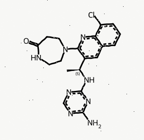 C[C@H](Nc1ncnc(N)n1)c1cc2cccc(Cl)c2nc1N1CCNC(=O)CC1